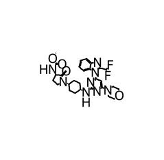 COC(=O)N[C@@H]1CCN([C@H]2CC[C@H](Nc3nc(N4CCOCC4)cc(-n4c(C(F)F)nc5ccccc54)n3)CC2)C1=O